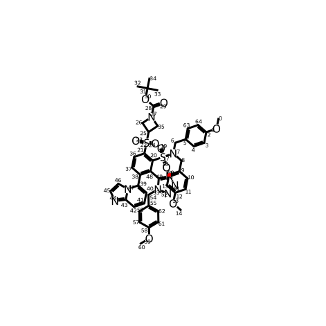 COc1ccc(CN(Cc2ccc(OC)cc2)S(=O)(=O)c2c(S(=O)(=O)C3CN(C(=O)OC(C)(C)C)C3)ccc(-c3cccc4nccn34)c2-c2nnnn2Cc2ccc(OC)cc2)cc1